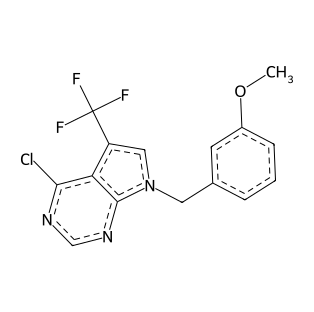 COc1cccc(Cn2cc(C(F)(F)F)c3c(Cl)ncnc32)c1